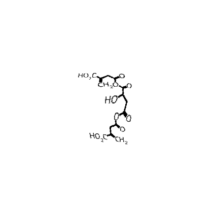 C=C(CC(=O)OC(=O)CC(O)C(=O)OC(=O)CC(=C)C(=O)O)C(=O)O